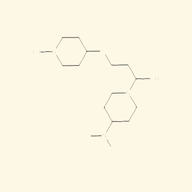 CC(CCOC1CCN(C(C)(C)C)CC1)N1CCC(N(C)C)CC1